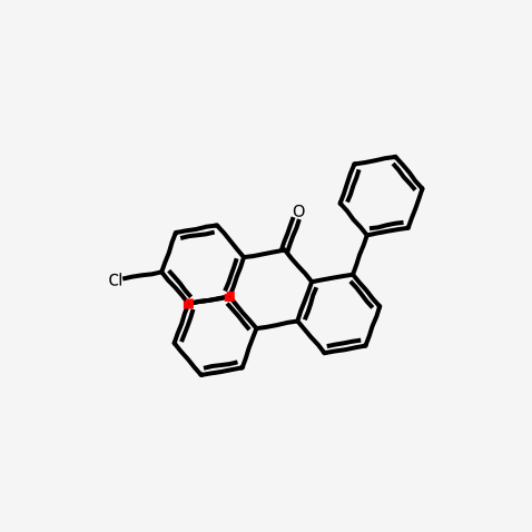 O=C(c1ccc(Cl)cc1)c1c(-c2ccccc2)cccc1-c1ccccc1